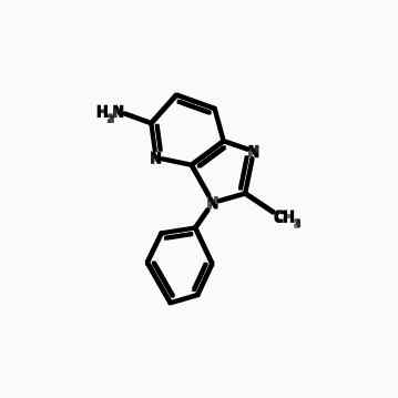 Cc1nc2ccc(N)nc2n1-c1ccccc1